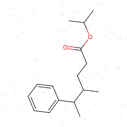 CC(C)OC(=O)CCC(C)C(C)c1ccccc1